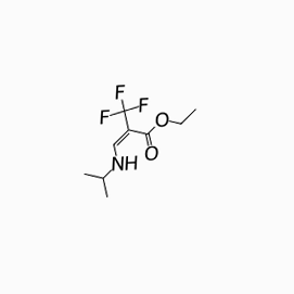 CCOC(=O)/C(=C\NC(C)C)C(F)(F)F